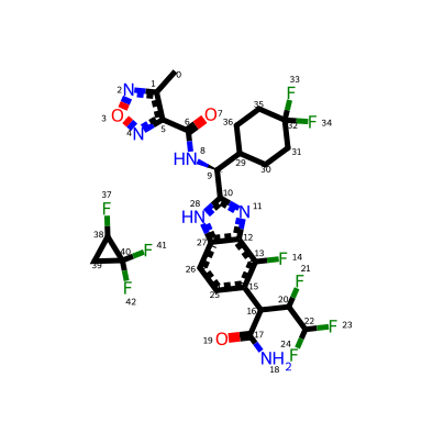 Cc1nonc1C(=O)N[C@H](c1nc2c(F)c(C(C(N)=O)C(F)C(F)F)ccc2[nH]1)C1CCC(F)(F)CC1.FC1CC1(F)F